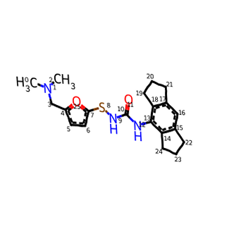 CN(C)Cc1ccc(SNC(=O)Nc2c3c(cc4c2CCC4)CCC3)o1